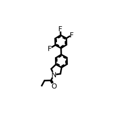 CCC(=O)N1Cc2ccc(-c3cc(F)c(F)cc3F)cc2C1